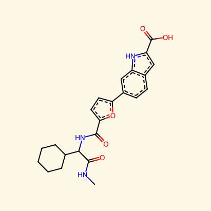 CNC(=O)C(NC(=O)c1ccc(-c2ccc3cc(C(=O)O)[nH]c3c2)o1)C1CCCCC1